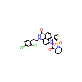 O=Cc1cccc2c(NC(=O)C3CCCCN3S(=O)(=O)c3cccs3)ccc(NCCc3ccc(Cl)cc3Cl)c12